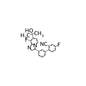 CC(C)(O)c1ccn2c(-c3cccc(-c4ccc(F)cc4C#N)c3)cnc2c1F